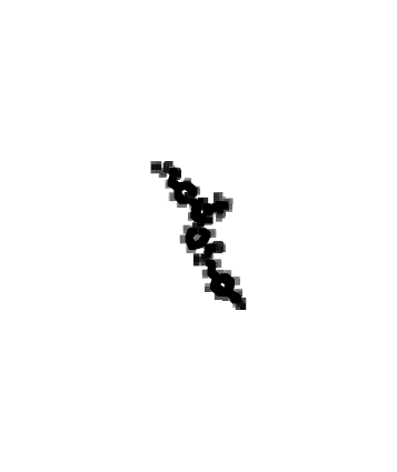 COCC1CCN(c2cc(N3CCC[C@@H](C(=O)NCCc4ccc(C#N)cc4)C3)nc(C(F)(F)F)n2)CC1